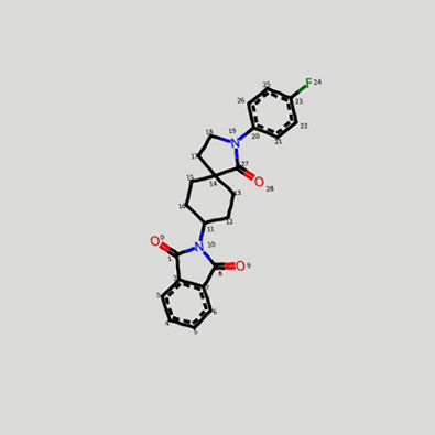 O=C1c2ccccc2C(=O)N1C1CCC2(CC1)CCN(c1ccc(F)cc1)C2=O